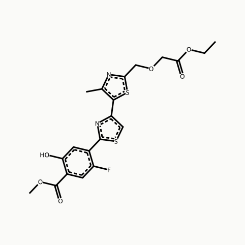 CCOC(=O)COCc1nc(C)c(-c2csc(-c3cc(O)c(C(=O)OC)cc3F)n2)s1